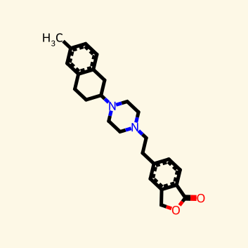 Cc1ccc2c(c1)CCC(N1CCN(CCc3ccc4c(c3)COC4=O)CC1)C2